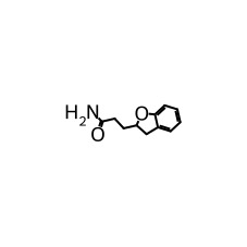 NC(=O)CCC1Cc2ccccc2O1